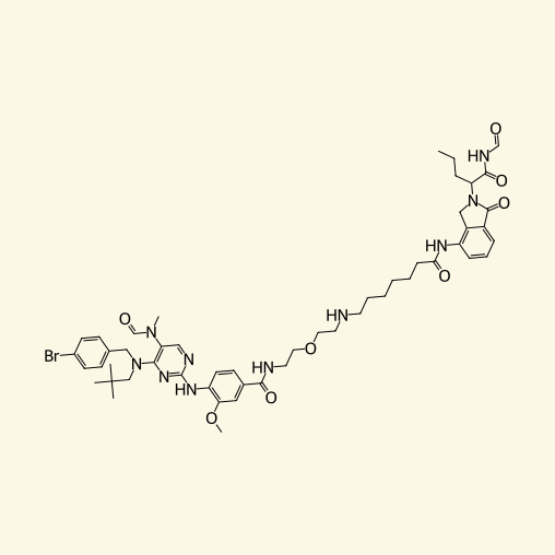 CCCC(C(=O)NC=O)N1Cc2c(NC(=O)CCCCCCNCCOCCNC(=O)c3ccc(Nc4ncc(N(C)C=O)c(N(Cc5ccc(Br)cc5)CC(C)(C)C)n4)c(OC)c3)cccc2C1=O